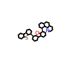 c1cnc2c(c1)ccc1cccc(-c3cccc4c3oc3c(-c5cccc6c5sc5ccccc56)cccc34)c12